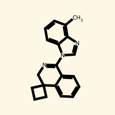 Cc1cccc2c1ncn2C1=NCC2(CCC2)c2ccccc21